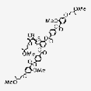 C=C(OCCC(C)OC)C(C#N)=C1Sc2c(OC(=O)c3ccc(OC(=O)c4ccc(OCCC(C)OC)cc4OC)cc3)ccc(OC(=O)c3ccc(OC(=O)c4ccc(OCCC(C)OC)cc4OC)cc3)c2S1